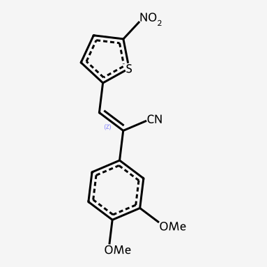 COc1ccc(/C(C#N)=C/c2ccc([N+](=O)[O-])s2)cc1OC